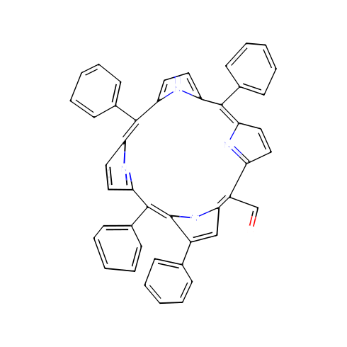 O=Cc1c2nc(c(-c3ccccc3)c3ccc([nH]3)c(-c3ccccc3)c3nc(c(-c4ccccc4)c4[nH]c1cc4-c1ccccc1)C=C3)C=C2